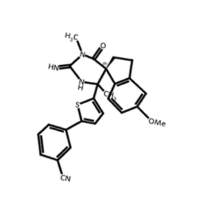 COc1ccc2c(c1)CC[C@@]21C(=O)N(C)C(=N)NC1(C)c1ccc(-c2cccc(C#N)c2)s1